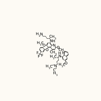 CCN(CC)CCCC(C)Nc1cc(OC)cc2cccnc12.COc1cc(C)c2c(Oc3cccc(C(F)(F)F)c3)c(OC)cc(NC(C)CCCN)c2n1